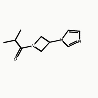 CC(C)C(=O)N1CC(n2ccnc2)C1